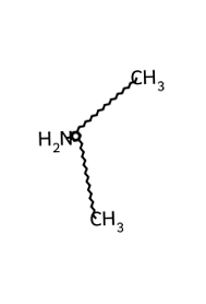 CCCCCCCCCCCCCCCCCCCc1cc(N)cc(CCCCCCCCCCCCCCCCCCC)c1